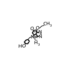 CCCCOn1c(=O)cc(NCc2ccc(O)cc2)c2c(C)ncnc21